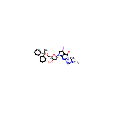 CN(C)/C=N\c1nc2c(c(I)cn2[C@H]2CC(O)[C@@H](CO[Si](c3ccccc3)(c3ccccc3)C(C)(C)C)O2)c(=O)[nH]1